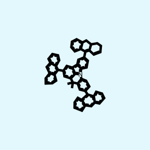 CC1(C)c2cc(-c3c4ccccc4cc4ccccc34)ccc2-n2c3ccc(C4=C5C=CCCC5Cc5ccccc54)cc3c3cc(-c4c5ccccc5cc5ccccc45)cc1c32